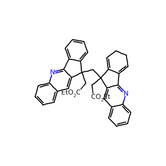 CCOC(=O)CC1(CC2(CC(=O)OCC)c3ccccc3-c3nc4ccccc4cc32)C2=CCCC=C2c2nc3ccccc3cc21